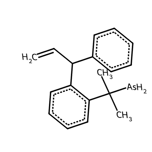 C=CC(c1ccccc1)c1ccccc1C(C)(C)[AsH2]